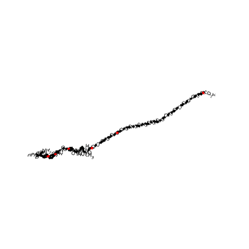 CCCN(CCC)C(=O)C1=Cc2ccc(-c3cccc(S(=O)(=O)N4CC(CNC(=O)OCc5ccc(NC(=O)[C@@H](NC(=O)[C@@H]6CCCN6C(=O)[C@@H](C)NC(=O)CCOCCOCCOCCOCCOCCOCCOCCOCCOCCOCCOCCOCCOCCOCCOCCOCCOCCOCCOCCOCCOCCOCCOCCOCCOCCC(=O)O)C(C)C)cc5)C4)c3)cc2N=C(N)C1